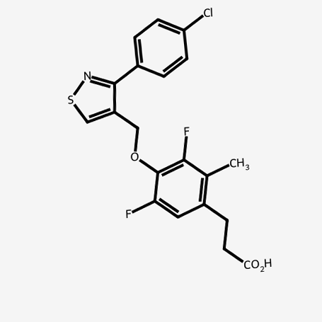 Cc1c(CCC(=O)O)cc(F)c(OCc2csnc2-c2ccc(Cl)cc2)c1F